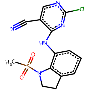 CS(=O)(=O)N1CCc2cccc(Nc3nc(Cl)ncc3C#N)c21